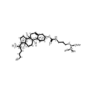 COP(OCCCNC(=O)O[C@H]1CC[C@@]2(C)C(=CC[C@H]3[C@@H]4CC[C@H]([C@H](C)CCCC(C)C)[C@@]4(C)CC[C@@H]32)C1)N(C(C)C)C(C)C